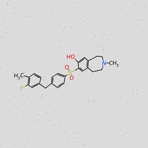 Cc1ccc(Cc2ccc(S(=O)(=O)c3cc4c(cc3O)CCN(C)CC4)cc2)cc1F